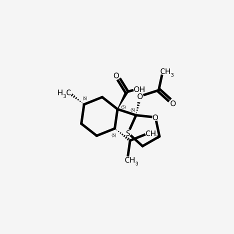 CC(=O)O[C@]1([C@@]2(C(=O)O)C[C@@H](C)CC[C@H]2C(C)C)OCCS1